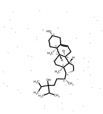 CC(C)C(O)(CC[C@@H](C)[C@H]1CC[C@H]2[C@@H]3CC=C4C[C@@H](O)CC[C@]4(C)[C@H]3CC[C@]12C)C(C)C